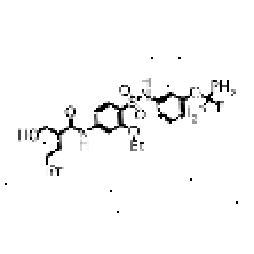 CCOc1cc(NC(=O)C(CO)CCC(C)C)ccc1S(=O)(=O)Nc1cccc(OC(F)(P)P)c1